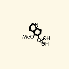 COc1c(OB(O)O)ccc2ncccc12